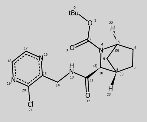 CC(C)(C)OC(=O)N1[C@H]2CC[C@@H](C2)[C@H]1C(=O)NCc1nccnc1Cl